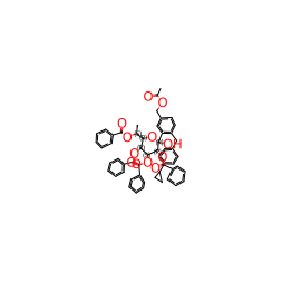 CC(=O)OCc1ccc(Cc2ccc(C3CC3)cc2)c([C@@]2(O)O[C@H]([C@H](C)OC(=O)c3ccccc3)[C@@H](OC(=O)c3ccccc3)[C@H](OC(=O)c3ccccc3)[C@H]2OC(=O)c2ccccc2)c1